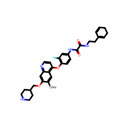 COc1cc2c(Oc3ccc(NC(=O)C(=O)NCCC4=CCCC=C4)cc3F)ccnc2cc1OCC1CCNCC1